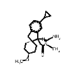 CO[C@H]1CC[C@]2(CC1)Cc1ccc(C3CC3)cc1C21CC(=O)N(C)C(N)=N1